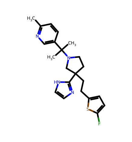 Cc1ccc(C(C)(C)N2CCC(CCc3ccc(F)s3)(c3ncc[nH]3)C2)cn1